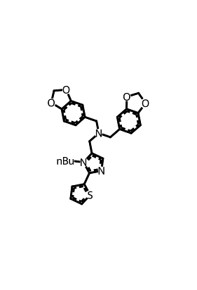 CCCCn1c(CN(Cc2ccc3c(c2)OCO3)Cc2ccc3c(c2)OCO3)cnc1-c1cccs1